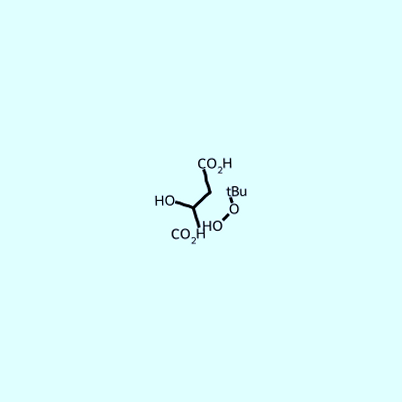 CC(C)(C)OO.O=C(O)CC(O)C(=O)O